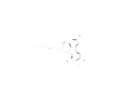 COCCOCCn1c2c(C(F)(F)F)cc(C(C)(C)C)cc2c2cc(C(C)(C)C)cc(C(F)(F)F)c21